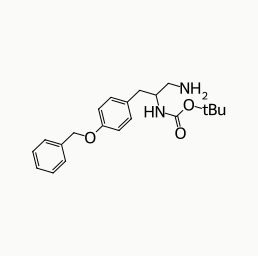 CC(C)(C)OC(=O)NC(CN)Cc1ccc(OCc2ccccc2)cc1